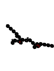 CC1(C)c2cc(-c3ccc(-c4ccc(-c5ccccc5)cc4)cc3)ccc2-c2ccc(N(c3ccc(-c4ccc5sc6cc(-c7ccc(N(c8cccc(-c9ccc%10sc%11ccccc%11c%10c9)c8)c8ccc9c(c8)C(C)(C)c8cc(-c%10ccc(-c%11ccc(-c%12ccccc%12)cc%11)cc%10)ccc8-9)c(-c8ccccc8)c7)ccc6c5c4)cc3)c3ccccc3-c3ccccc3)cc21